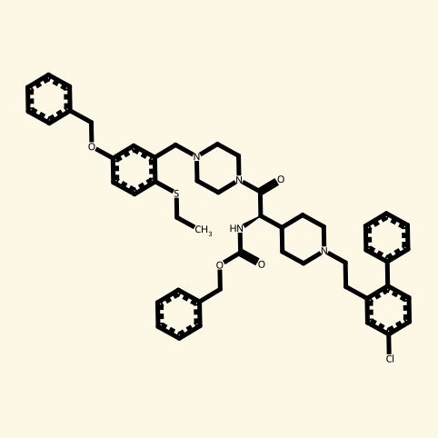 CCSc1ccc(OCc2ccccc2)cc1CN1CCN(C(=O)[C@H](NC(=O)OCc2ccccc2)C2CCN(CCc3cc(Cl)ccc3-c3ccccc3)CC2)CC1